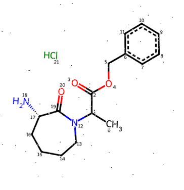 CC(C(=O)OCc1ccccc1)N1CCCC[C@H](N)C1=O.Cl